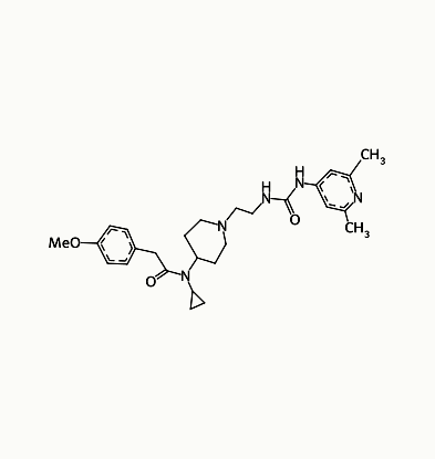 COc1ccc(CC(=O)N(C2CC2)C2CCN(CCNC(=O)Nc3cc(C)nc(C)c3)CC2)cc1